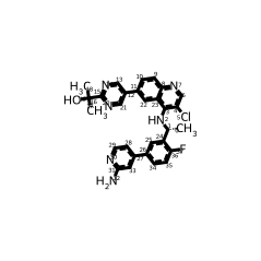 C[C@@H](Nc1c(Cl)cnc2ccc(-c3cnc(C(C)(C)O)nc3)cc12)c1cc(-c2ccnc(N)c2)ccc1F